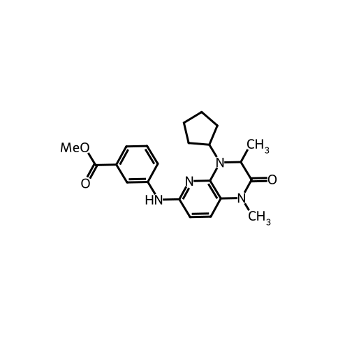 COC(=O)c1cccc(Nc2ccc3c(n2)N(C2CCCC2)C(C)C(=O)N3C)c1